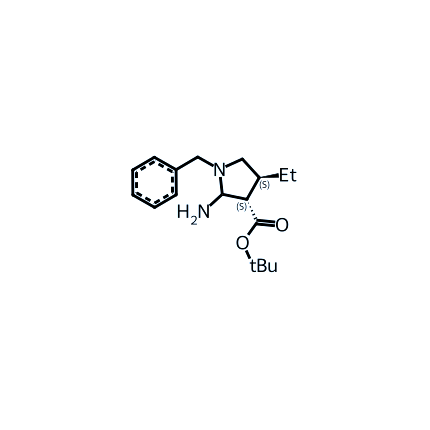 CC[C@@H]1CN(Cc2ccccc2)C(N)[C@H]1C(=O)OC(C)(C)C